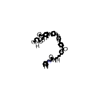 O=C(/C=C/c1cccnc1)NCCCCC1CCN(C(=O)c2ccc(N3CCN(CN4CCN(c5ccc6c(c5F)C(=O)N(C5CCC(=O)NC5=O)C6=O)CC4)CC3)cc2)CC1